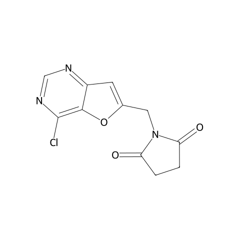 O=C1CCC(=O)N1Cc1cc2ncnc(Cl)c2o1